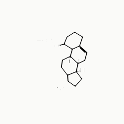 CC(=O)[C@H]1CC[C@H]2[C@@H]3CC=C4CCCC(OS(=O)(=O)O)[C@]4(C)[C@H]3CC[C@]12C